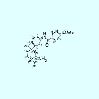 COc1cnc(C(=O)Nc2ccc3c(c2)[C@@]2(CC[C@@](F)(CF)C(N)=N2)C3)cn1